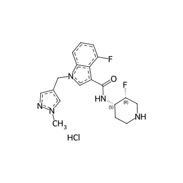 Cl.Cn1cc(Cn2cc(C(=O)N[C@H]3CCNC[C@H]3F)c3c(F)cccc32)cn1